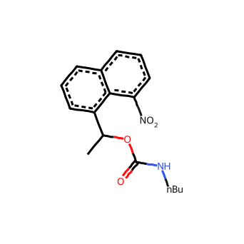 CCCCNC(=O)OC(C)c1cccc2cccc([N+](=O)[O-])c12